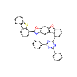 c1ccc(-c2nc(-c3ccccc3)nc(-c3cccc4oc5cc6oc(-c7cccc8c7sc7ccccc78)nc6cc5c34)n2)cc1